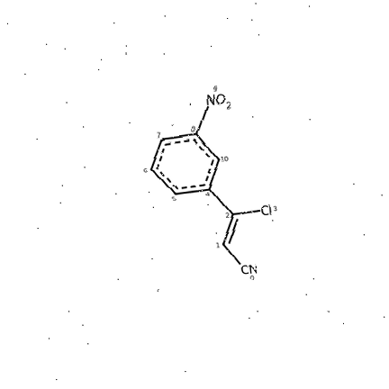 N#CC=C(Cl)c1cccc([N+](=O)[O-])c1